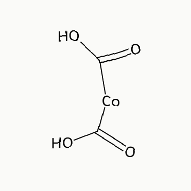 O=[C](O)[Co][C](=O)O